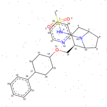 CS(=O)(=O)NC1CC2CCC([C@H]1COC1CCC(c3ccccc3)CC1)N2c1ccccn1